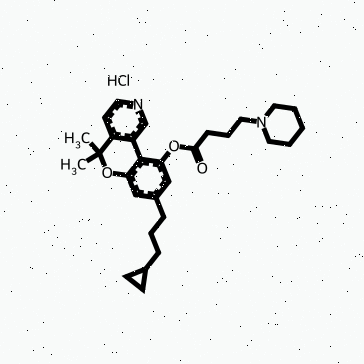 CC1(C)Oc2cc(CCCC3CC3)cc(OC(=O)CCCN3CCCCC3)c2-c2cnccc21.Cl